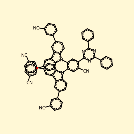 N#Cc1cccc(-c2ccc3c(c2)c2cc(-c4cccc(C#N)c4)ccc2n3-c2cc(C#N)c(-c3nc(-c4ccccc4)nc(-c4ccccc4)n3)cc2-n2c3ccc(-c4cccc(C#N)c4)cc3c3cc(-c4cccc(C#N)c4)ccc32)c1